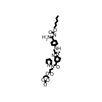 CCCCCCOC(=O)/N=C(\N)c1ccc(NCc2nc3cc(C(=O)N(CCC(=O)OC4COC(=O)OC4)c4ccccn4)ccc3n2C)cc1